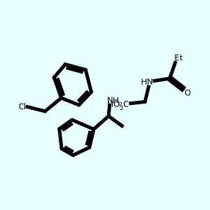 CC(N)c1ccccc1.CCC(=O)NCC(=O)O.ClCc1ccccc1